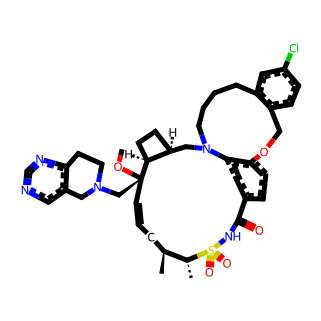 CO[C@@]1(CN2CCc3ncncc3C2)/C=C/C[C@H](C)[C@@H](C)S(=O)(=O)NC(=O)c2ccc3c(c2)N(CCCCc2cc(Cl)ccc2CO3)C[C@@H]2CC[C@@H]21